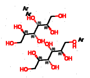 OC[C@@H](O)[C@@H](O)[C@H](O)[C@H](O)CO.OC[C@@H](O)[C@@H](O)[C@H](O)[C@H](O)CO.[Ar].[Ar].[Ar]